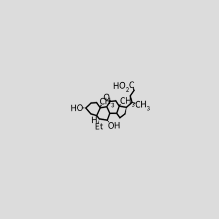 CC[C@H]1[C@@H](O)C2C3CC[C@H]([C@H](C)CCC(=O)O)[C@@]3(C)CC(=O)C2[C@@]2(C)CC[C@@H](O)C[C@@H]12